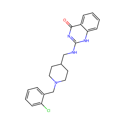 O=c1nc(NCC2CCN(Cc3ccccc3Cl)CC2)[nH]c2ccccc12